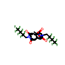 O=c1c2ccc(c(=O)n1CC(F)(F)C(F)(F)C(F)(F)F)c1c3ccc(c(=O)n(CC(F)(F)C(F)(F)C(F)(F)F)c3=O)c21